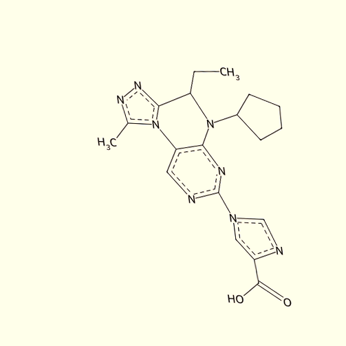 CCC1c2nnc(C)n2-c2cnc(-n3cnc(C(=O)O)c3)nc2N1C1CCCC1